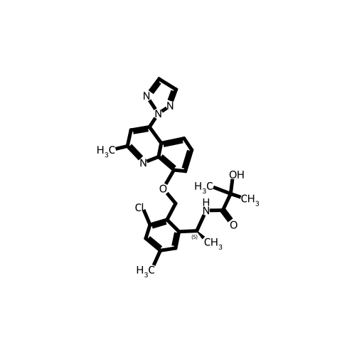 Cc1cc(Cl)c(COc2cccc3c(-n4nccn4)cc(C)nc23)c([C@H](C)NC(=O)C(C)(C)O)c1